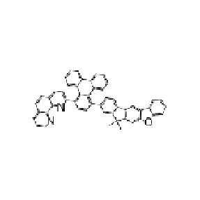 CC1(C)c2cc(-c3ccc(-c4ccc5ccc6cccnc6c5n4)c4c5ccccc5c5ccccc5c34)ccc2-c2cc3c(cc21)oc1ccccc13